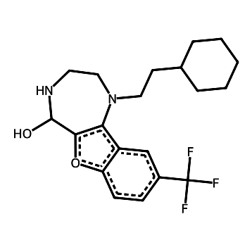 OC1NCCN(CCC2CCCCC2)c2c1oc1ccc(C(F)(F)F)cc21